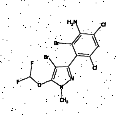 Cn1nc(-c2c(Cl)cc(Cl)c(N)c2Br)c(Br)c1OC(F)F